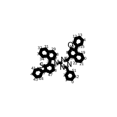 c1ccc(-c2nc(-c3cc4oc5ccccc5c4c4ccccc34)nc(-n3c4ccc5ccccc5c4c4c5sc6ccccc6c5ccc43)n2)cc1